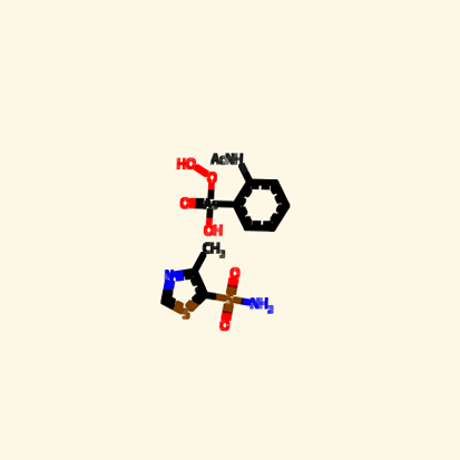 CC(=O)Nc1ccccc1[As](=O)(O)OO.Cc1ncsc1S(N)(=O)=O